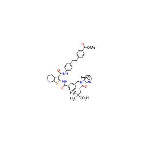 COC(=O)c1ccc(CCc2ccc(NC(=O)c3c(NC(=O)c4cccc(CN(C(=O)CCC(C)(C)C(=O)O)[C@H]5CN6CCC5CC6)c4)sc4c3CCCC4)cc2)cc1